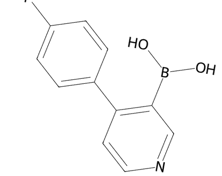 OB(O)c1cnccc1-c1ccc(F)cc1